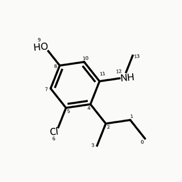 CCC(C)c1c(Cl)cc(O)cc1NC